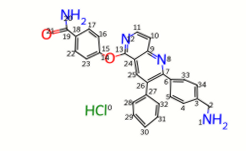 Cl.NCc1ccc(-c2nc3ccnc(Oc4ccc(C(N)=O)cc4)c3cc2-c2ccccc2)cc1